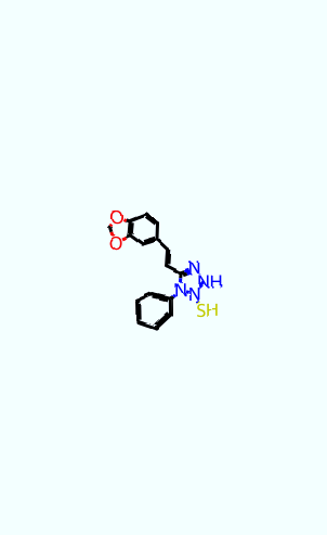 SN1NN=C(C=Cc2ccc3c(c2)OCO3)N1c1ccccc1